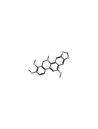 COc1ccc2c(c1OC)CN(C)c1c-2cc(OC)c2cc3c(cc12)OCO3